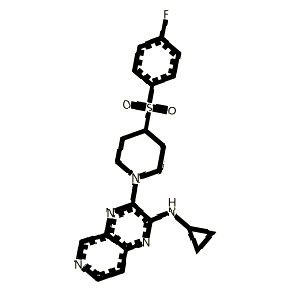 O=S(=O)(c1ccc(F)cc1)C1CCN(c2nc3cnccc3nc2NC2CC2)CC1